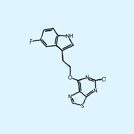 Fc1ccc2[nH]cc(CCOc3nc(Cl)nc4scnc34)c2c1